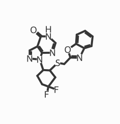 O=c1[nH]cnc2c1cnn2C1CCC(F)(F)CC1SCc1nc2ccccc2o1